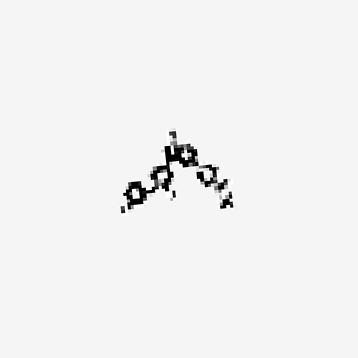 CC(C)(C)OC(=O)N1CCN(c2cnc3[nH]cc(-c4ccn(Cc5cccc(Cl)c5)c(=O)c4)c3c2)CC1